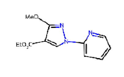 CCOC(=O)c1cn(-c2ccccn2)nc1OC